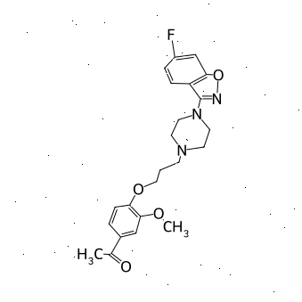 COc1cc(C(C)=O)ccc1OCCCN1CCN(c2noc3cc(F)ccc23)CC1